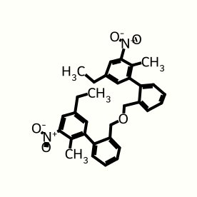 CCc1cc(-c2ccccc2COCc2ccccc2-c2cc(CC)cc([N+](=O)[O-])c2C)c(C)c([N+](=O)[O-])c1